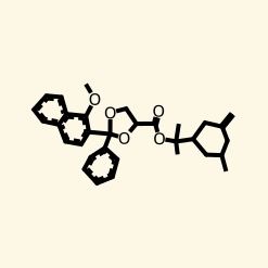 C=C1CC(C)CC(C(C)(C)OC(=O)C2COC(c3ccccc3)(c3ccc4ccccc4c3OC)O2)C1